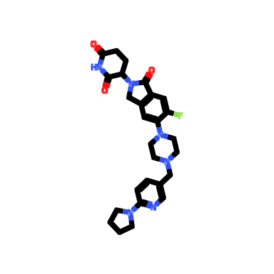 O=C1CCC(N2Cc3cc(N4CCN(Cc5ccc(N6CCCC6)nc5)CC4)c(F)cc3C2=O)C(=O)N1